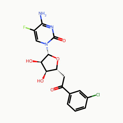 Nc1nc(=O)n([C@@H]2O[C@H](CC(=O)c3cccc(Cl)c3)[C@@H](O)[C@H]2O)cc1F